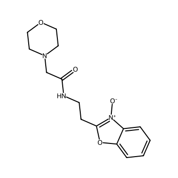 O=C(CN1CCOCC1)NCCc1oc2ccccc2[n+]1[O-]